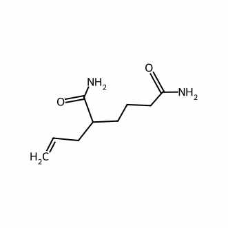 C=CCC(CCCC(N)=O)C(N)=O